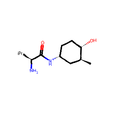 CC(C)[C@H](N)C(=O)N[C@@H]1CC[C@H](O)[C@@H](C)C1